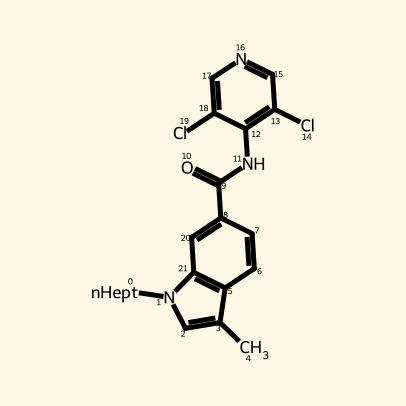 CCCCCCCn1cc(C)c2ccc(C(=O)Nc3c(Cl)cncc3Cl)cc21